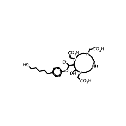 CCC(Oc1ccc(CCCCCO)cc1)C1C(O)N(CC(=O)O)CCNCCN(CC(=O)O)CCN1CC(=O)O